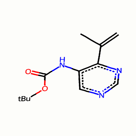 C=C(C)c1ncncc1NC(=O)OC(C)(C)C